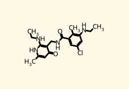 CCNc1cc(Cl)cc(C(=O)NCc2c(NCC)[nH]c(C)cc2=O)c1C